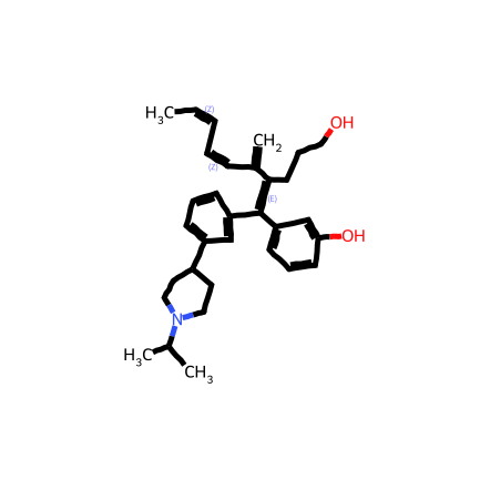 C=C(/C=C\C=C/C)/C(CCCO)=C(/c1cccc(O)c1)c1cccc(C2CCN(C(C)C)CC2)c1